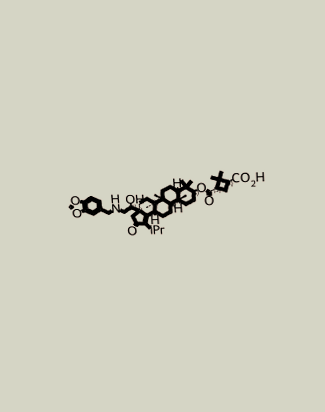 CC(C)C1=C2[C@H]3CC[C@@H]4[C@@]5(C)CC[C@H](OC(=O)[C@H]6C[C@@H](C(=O)O)C6(C)C)C(C)(C)[C@@H]5CC[C@@]4(C)[C@]3(C)CC[C@@]2([C@@H](O)CNCc2ccc3c(c2)OCO3)CC1=O